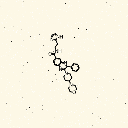 O=C(NCCc1ncc[nH]1)c1ccc2nc(N3CCC(N4CCOCC4)CC3)c(-c3ccccc3)nc2c1